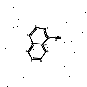 CCCCc1nccc2ccccc12